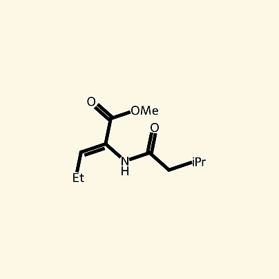 CCC=C(NC(=O)CC(C)C)C(=O)OC